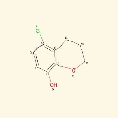 Oc1ccc(Cl)c2c1OCCC2